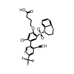 C#Cc1cc(C(F)(F)F)ncc1-c1cc(S(=O)(=O)N2CCSc3ccccc32)c(OCCCC(=O)O)cc1Cl